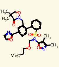 COCCOCN(c1onc(C)c1C)S(=O)(=O)c1ccccc1-c1ccc(-c2ncco2)cc1CN1OCC(C)(C)C1=O